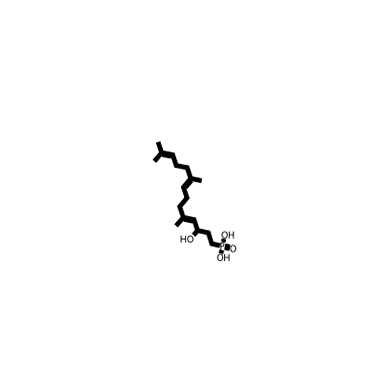 CC(C)=CCCC(C)=CCCC(C)=CC(O)CCP(=O)(O)O